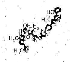 Cc1ncsc1-c1ccc(C(C)NC(=O)[C@@H]2C[C@@H](O)CN2C(=O)C(c2cc(Oc3cnc(N4CCC(c5sc6nnc(-c7ccccc7O)cc6c5C)CC4)nc3)no2)C(C)C)cc1